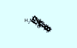 CC#CCn1c(N2CCC[C@@H](N)C2)nc2cnn(Cc3cc4ccccc4cn3)c(=O)c21